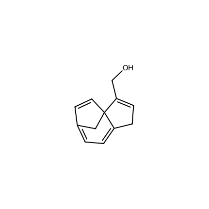 OCC1=CCC2=CC=C3C=CC12C3